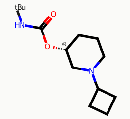 CC(C)(C)NC(=O)O[C@@H]1CCCN(C2CCC2)C1